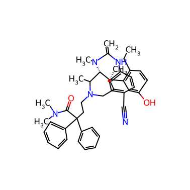 C=C(Nc1ccc(C#N)cc1)N(C)[C@H]1C(C)N(CCC(C(=O)N(C)C)(c2ccccc2)c2ccccc2)CC[C@]1(C)c1cc(O)ccc1CC